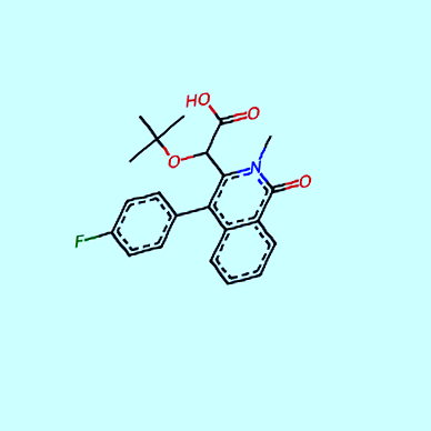 Cn1c(C(OC(C)(C)C)C(=O)O)c(-c2ccc(F)cc2)c2ccccc2c1=O